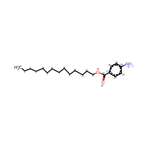 CCCCCCCCCCCCCCOC(=O)c1ccc(N)cc1